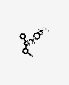 Cc1nc2c(s1)CCN(C(=O)Cn1nc(-c3cccc(C#N)c3)cc1-c1ccccc1)CC2